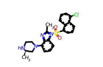 Cc1nc2c(N3CCN[C@H](C)C3)cccc2n1S(=O)(=O)c1cccc2c(Cl)cccc12